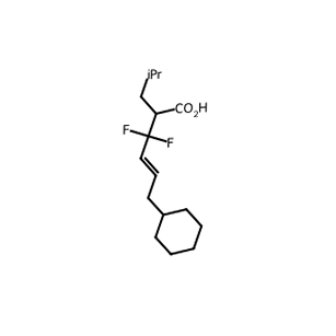 CC(C)CC(C(=O)O)C(F)(F)C=CCC1CCCCC1